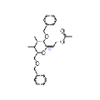 CC(=O)OC/C=C1/OC(COCc2ccccc2)C(C)C(C)C1OCc1ccccc1